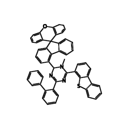 CN1C(c2cccc3c2sc2ccccc23)=NC(c2ccccc2-c2ccccc2)=NC1c1cccc2c1-c1ccccc1C21C2=C(CCC=C2)Oc2ccccc21